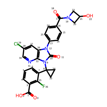 O=C(O)c1cccc(C2(n3c(=O)n(-c4ccc(C(=O)N5CC(O)C5)cc4)c4cc(Cl)cnc43)CC2)c1F